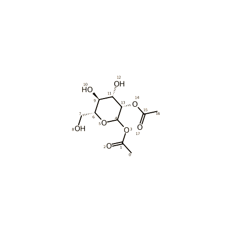 CC(=O)OC1O[C@H](CO)[C@@H](O)[C@H](O)[C@@H]1OC(C)=O